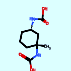 C[C@@]1(NC(=O)O)CCC[C@H](NC(=O)O)C1